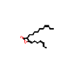 CC/C=C\CC/C=C1/OC(=O)C1CCCCCC/C=C\CC